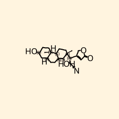 C[C@]12CC[C@H](O)C[C@H]1CC[C@H]1[C@H](O)[C@@](C)([C@H](CC#N)C3=CC(=O)OC3)CC[C@@H]12